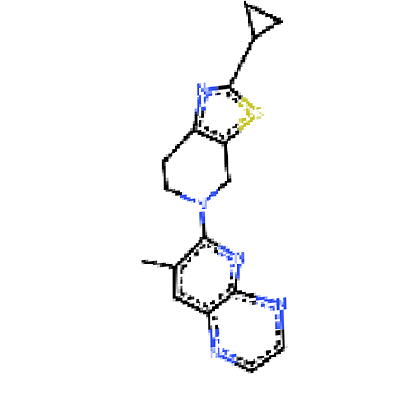 Cc1cc2nccnc2nc1N1CCc2nc(C3CC3)sc2C1